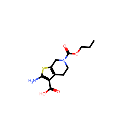 CCCOC(=O)N1CCc2c(sc(N)c2C(=O)O)C1